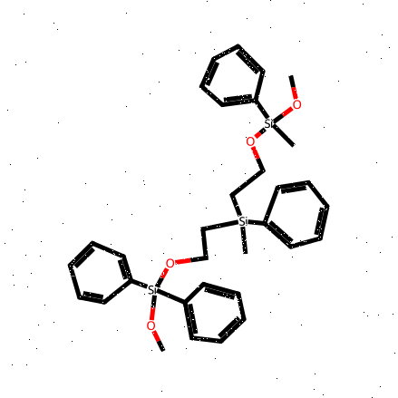 CO[Si](C)(OCC[Si](C)(CCO[Si](OC)(c1ccccc1)c1ccccc1)c1ccccc1)c1ccccc1